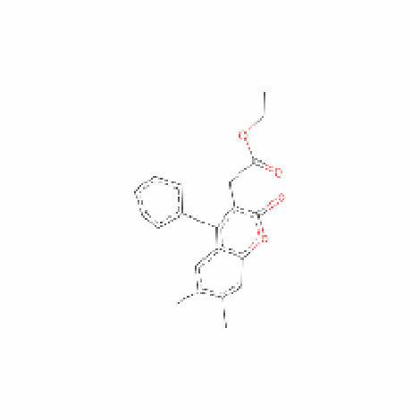 CCOC(=O)Cc1c(-c2ccccc2)c2cc(C)c(C)cc2oc1=O